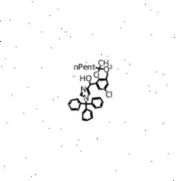 CCCCCC1(C)OCc2cc(Cl)cc(C(O)c3cn(C(c4ccccc4)(c4ccccc4)c4ccccc4)cn3)c2O1